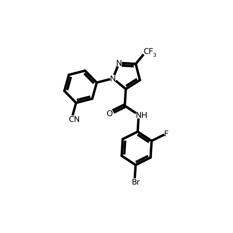 N#Cc1cccc(-n2nc(C(F)(F)F)cc2C(=O)Nc2ccc(Br)cc2F)c1